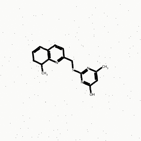 Cc1cc(O)nc(SCc2ccc3c(n2)C(C)CC=C3)n1